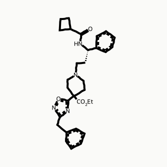 CCOC(=O)C1(c2nc(Cc3ccccc3)no2)CCN(CC[C@H](NC(=O)C2CCC2)c2ccccc2)CC1